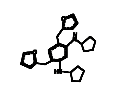 c1coc(Cc2cc(Cc3ccco3)c(NC3CCCC3)cc2NC2CCCC2)c1